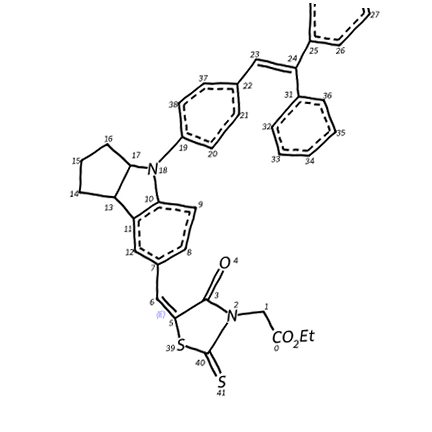 CCOC(=O)CN1C(=O)/C(=C\c2ccc3c(c2)C2CCCC2N3c2ccc(C=C(c3ccccc3)c3ccccc3)cc2)SC1=S